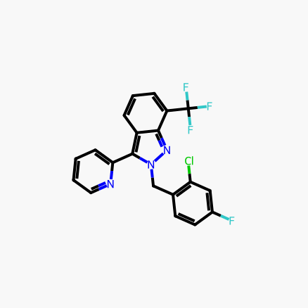 Fc1ccc(Cn2nc3c(C(F)(F)F)cccc3c2-c2ccccn2)c(Cl)c1